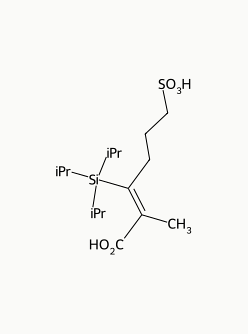 CC(C(=O)O)=C(CCCS(=O)(=O)O)[Si](C(C)C)(C(C)C)C(C)C